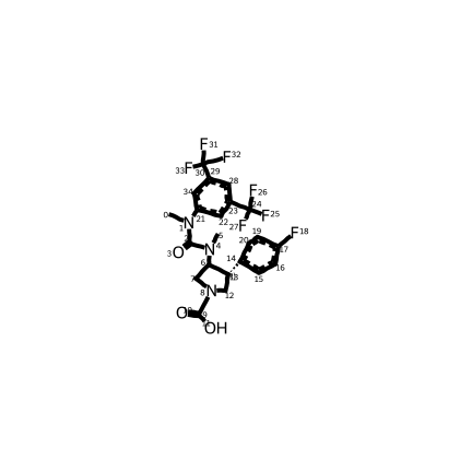 CN(C(=O)N(C)C1CN(C(=O)O)C[C@H]1c1ccc(F)cc1)c1cc(C(F)(F)F)cc(C(F)(F)F)c1